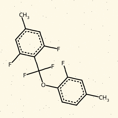 Cc1ccc(OC(F)(F)c2c(F)cc(C)cc2F)c(F)c1